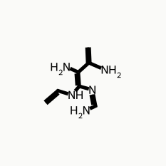 C=CNC(/N=C\N)=C(\N)C(=C)N